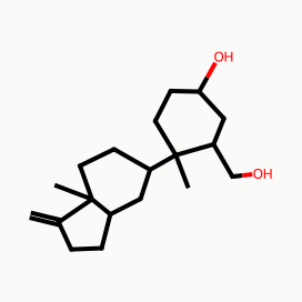 C=C1CCC2CC(C3(C)CCC(O)CC3CO)CCC12C